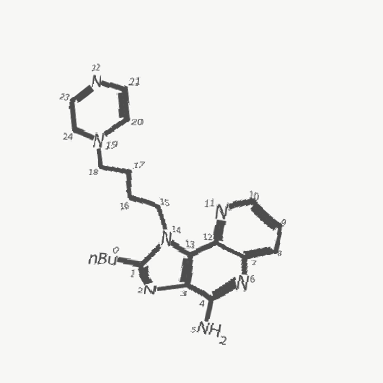 CCCCc1nc2c(N)nc3cccnc3c2n1CCCCN1C=CN=CC1